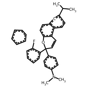 CC(C)c1ccc2c3c(ccc2c1)OC(c1ccc(N(C)C)cc1)(c1ccccc1F)C=C3.c1ccccc1